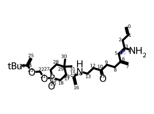 C=CC/C(N)=C/C(=C)CCC(=O)CCNC(=C)[C@@H]1CP(=O)(OCOC(=C)C(C)(C)C)CCC1(C)C